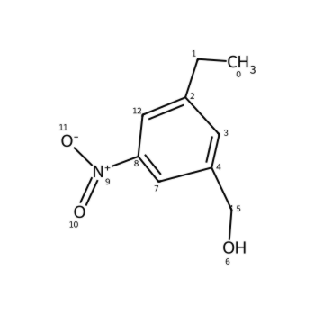 CCc1cc([CH]O)cc([N+](=O)[O-])c1